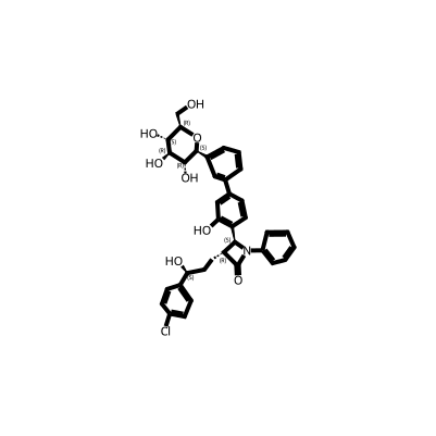 O=C1[C@H](CC[C@H](O)c2ccc(Cl)cc2)[C@@H](c2ccc(-c3cccc([C@@H]4O[C@H](CO)[C@@H](O)[C@H](O)[C@H]4O)c3)cc2O)N1c1ccccc1